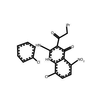 CC(C)CC(=O)c1c(Nc2ccccc2Cl)[nH]c2c(Cl)ccc([N+](=O)[O-])c2c1=O